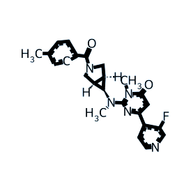 Cc1ccc(C(=O)N2C[C@@H]3[C@H](C2)[C@@H]3N(C)c2nc(-c3ccncc3F)cc(=O)n2C)cc1